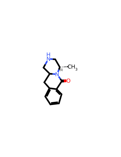 C[C@H]1CNCC2Cc3ccccc3C(=O)N21